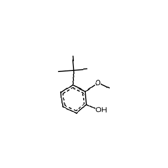 COc1c(O)cccc1C(C)(C)C